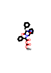 CCN[C@@H](Cc1ccccc1)C(=O)N(Cc1ccccc1)C(C(=O)OC(=O)OC(C)(C)C)c1ccccc1